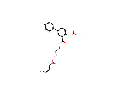 CC/C=C\CC(=O)OCCCNC(=O)c1cc(-c2ccc(F)cc2F)ccc1OC(C)=O